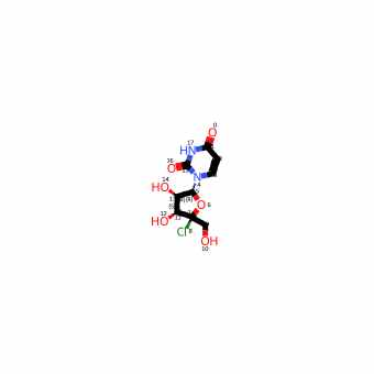 O=c1ccn([C@@H]2O[C@](Cl)(CO)[C@@H](O)[C@H]2O)c(=O)[nH]1